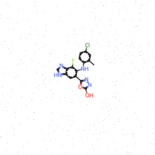 Cc1cc(Cl)ccc1Nc1c(-c2nnc(O)o2)cc2[nH]cnc2c1F